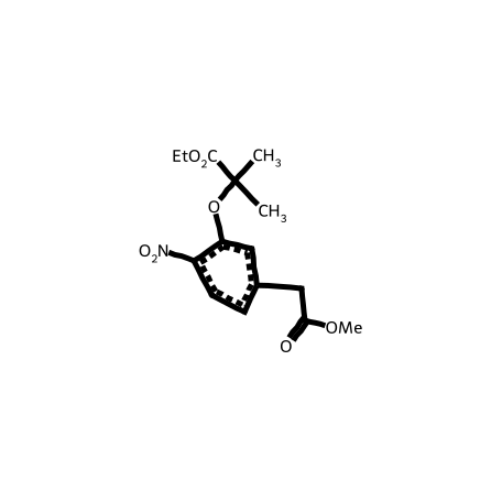 CCOC(=O)C(C)(C)Oc1cc(CC(=O)OC)ccc1[N+](=O)[O-]